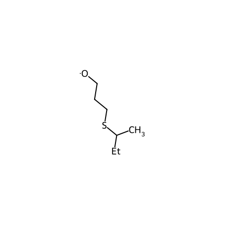 CCC(C)SCCC[O]